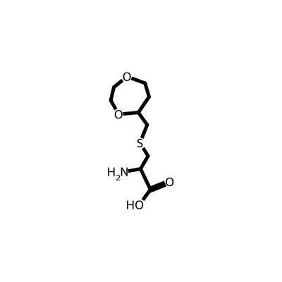 NC(CSCC1CCOCCO1)C(=O)O